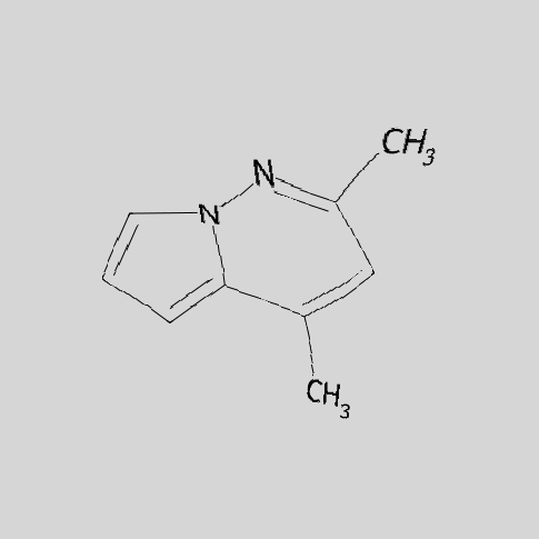 Cc1cc(C)c2cccn2n1